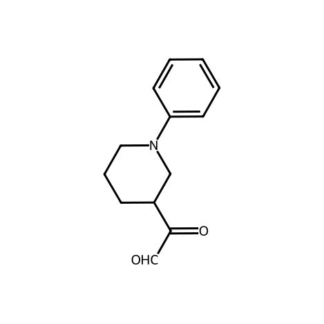 O=CC(=O)C1CCCN(c2ccccc2)C1